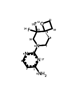 Nc1ccnc(N2CC[C@]3(CCO3)C(F)(F)C2)n1